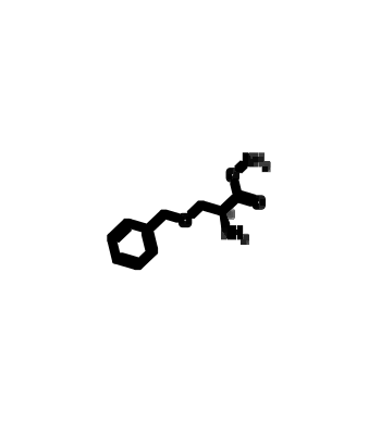 NOC(=O)[C@@H](N)COCc1ccccc1